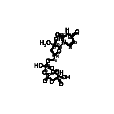 C[C@@]1(O)C[C@@H](COP(=O)(O)OP(=O)(O)OP(=O)(O)O)O[C@H]1n1ccc(=O)[nH]c1=O